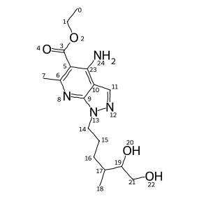 CCOC(=O)c1c(C)nc2c(cnn2CCCC(C)C(O)CO)c1N